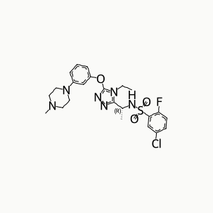 CCn1c(Oc2cccc(N3CCN(C)CC3)c2)nnc1[C@@H](C)NS(=O)(=O)c1cc(Cl)ccc1F